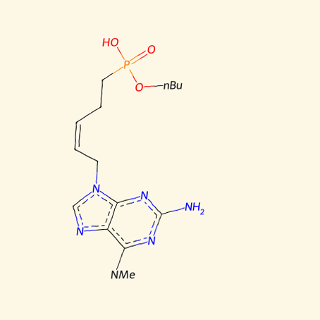 CCCCOP(=O)(O)CC/C=C\Cn1cnc2c(NC)nc(N)nc21